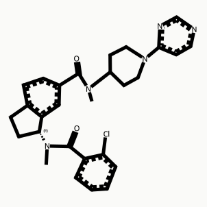 CN(C(=O)c1ccc2c(c1)[C@H](N(C)C(=O)c1ccccc1Cl)CC2)C1CCN(c2ccncn2)CC1